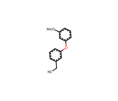 COc1cccc(Oc2cccc(CC#N)c2)c1